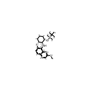 COc1cnc2ccc(F)c(N[C@H]3CCCC[C@@H]3O[Si](C)(C)C(C)(C)C)c2n1